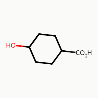 O=C(O)C1CC[C](O)CC1